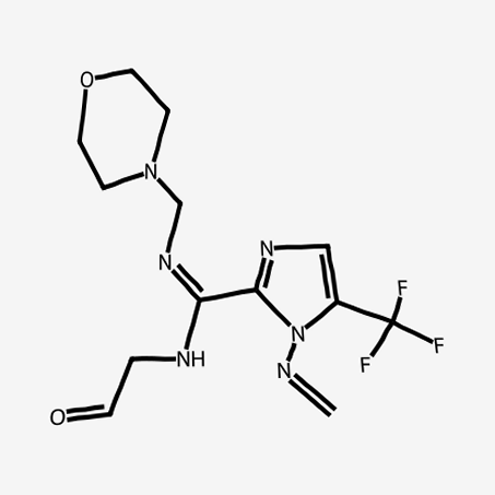 C=Nn1c(C(F)(F)F)cnc1/C(=N\CN1CCOCC1)NCC=O